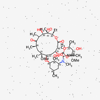 CC[C@H]1OC(=O)[C@H](C)[C@@H](O[C@@H]2O[C@@H](C)[C@H](O)[C@](C)(OC)O2)[C@H](C)[C@@H](O[C@@H]2C[C@H](C)C[C@H](N(C)C(=O)NC)[C@H]2O)[C@@](C)(OC)C[C@@H](C)C(=O)C(C)[C@@H](O)[C@]1(C)O